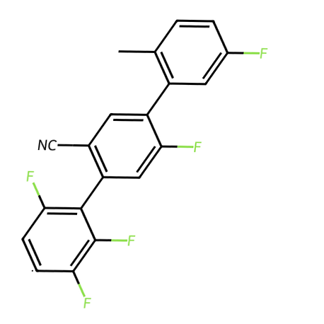 Cc1ccc(F)cc1-c1cc(C#N)c(-c2c(F)c[c]c(F)c2F)cc1F